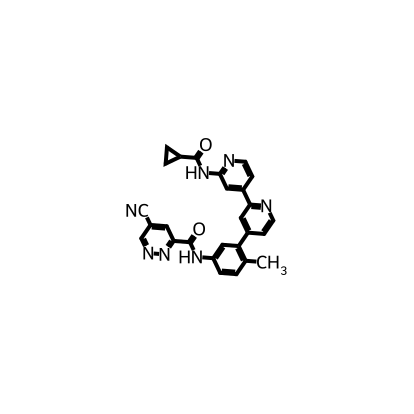 Cc1ccc(NC(=O)c2cc(C#N)cnn2)cc1-c1ccnc(-c2ccnc(NC(=O)C3CC3)c2)c1